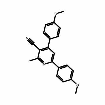 COc1ccc(-c2cc(-c3ccc(OC)cc3)c(C#N)c(C)n2)cc1